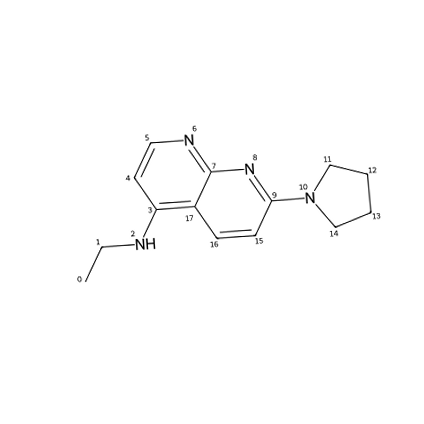 CCNc1ccnc2nc(N3CCCC3)ccc12